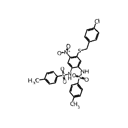 Cc1ccc(S(=O)(=O)Nc2cc(SCc3ccc(Cl)cc3)c([N+](=O)[O-])cc2NS(=O)(=O)c2ccc(C)cc2)cc1